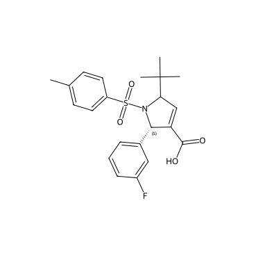 Cc1ccc(S(=O)(=O)N2C(C(C)(C)C)C=C(C(=O)O)[C@@H]2c2cccc(F)c2)cc1